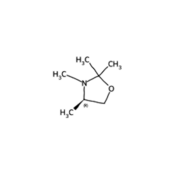 C[C@@H]1COC(C)(C)N1C